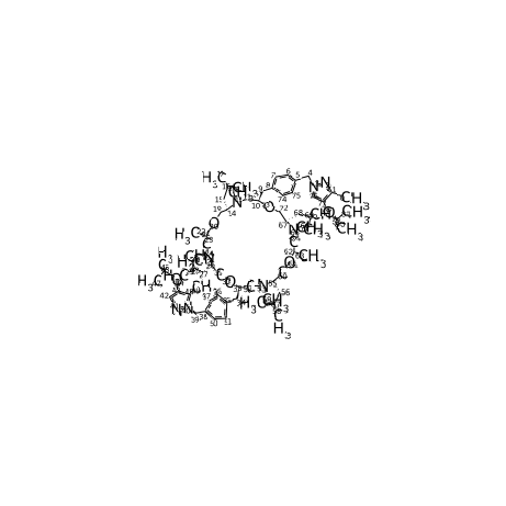 Cc1nn(Cc2ccc(C[C@@H]3CN(C)[C@@H](CC(C)C)CO[C@H](C)CN(C)[C@@H](CC(C)C)CO[C@H](Cc4ccc(Cn5ncc(OC(C)C)c5C)cc4)CN(C)[C@@H](CC(C)C)CO[C@H](C)CN(C)[C@@H](CC(C)C)CO3)cc2)cc1OC(C)C